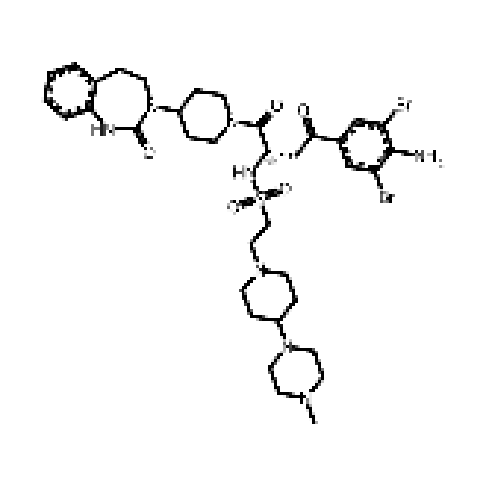 CN1CCN(C2CCN(CCS(=O)(=O)N[C@@H](CC(=O)c3cc(Br)c(N)c(Br)c3)C(=O)N3CCC(N4CCc5ccccc5NC4=O)CC3)CC2)CC1